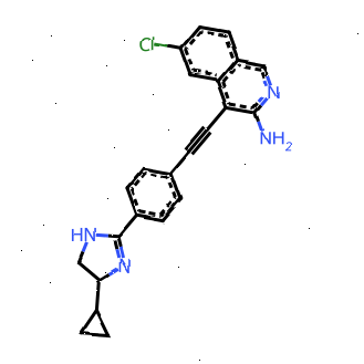 Nc1ncc2ccc(Cl)cc2c1C#Cc1ccc(C2=NC(C3CC3)CN2)cc1